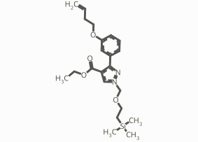 C=CCCOc1cccc(-c2nn(COCC[Si](C)(C)C)cc2C(=O)OCC)c1